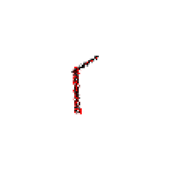 CCCCCCCCCCCCCCCCCC(=O)OC(C)COCCOCCOCCOCCOCCOCCOCCOCCOCCO